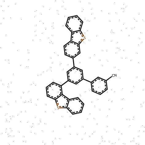 N#Cc1cccc(-c2cc(-c3ccc4c(c3)sc3ccccc34)cc(-c3cccc4sc5ccccc5c34)c2)c1